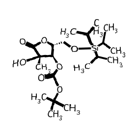 CC(C)[Si](OC[C@H]1OC(=O)[C@@](C)(O)[C@@H]1OC(=O)OC(C)(C)C)(C(C)C)C(C)C